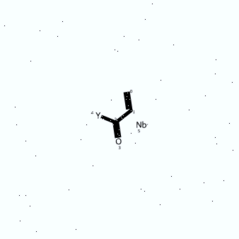 C=C[C](=O)[Y].[Nb]